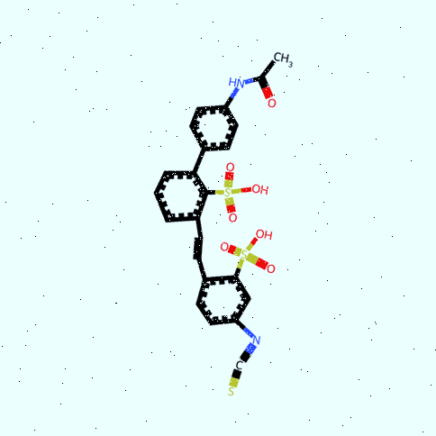 CC(=O)Nc1ccc(-c2cccc(C=Cc3ccc(N=C=S)cc3S(=O)(=O)O)c2S(=O)(=O)O)cc1